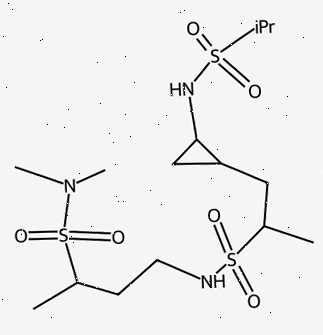 CC(C)S(=O)(=O)NC1CC1CC(C)S(=O)(=O)NCCC(C)S(=O)(=O)N(C)C